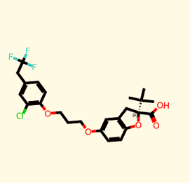 CC(C)(C)[C@@]1(C(=O)O)Cc2cc(OCCCOc3ccc(CC(F)(F)F)cc3Cl)ccc2O1